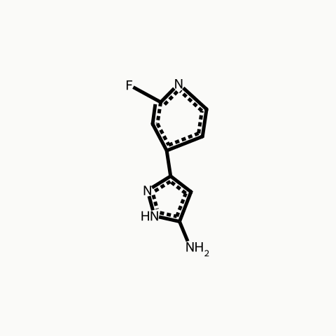 Nc1cc(-c2ccnc(F)c2)n[nH]1